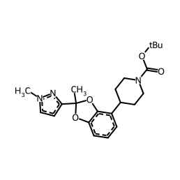 Cn1ccc(C2(C)Oc3cccc(C4CCN(C(=O)OC(C)(C)C)CC4)c3O2)n1